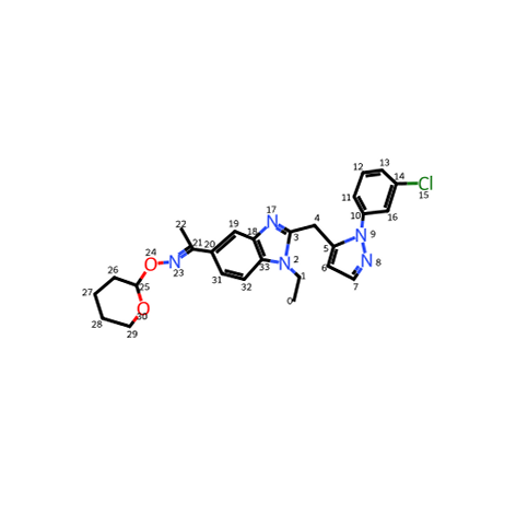 CCn1c(Cc2ccnn2-c2cccc(Cl)c2)nc2cc(C(C)=NOC3CCCCO3)ccc21